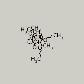 CCCCOC(=O)[C@H]([C@@H](C)OCCCC)N1C(=O)C2(CCCN2C(=O)OC(C)(C)C)C1C